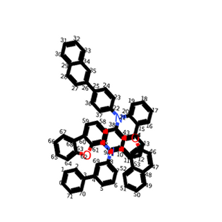 c1ccc(-c2cccc(N(c3cccc(-c4ccccc4N(c4ccc(-c5ccc6ccccc6c5)cc4)c4cccc5c4oc4ccc6ccccc6c45)c3)c3cccc4c3oc3ccccc34)c2)cc1